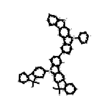 CC1(C)c2ccccc2-c2ccc(-n3c4ccc(-c5ccc6c(c5)c5cc7c(cc5n6-c5ccccc5)oc5ccccc57)cc4c4cc5c(cc43)C(C)(C)c3ccccc3-5)cc21